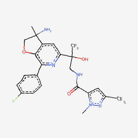 Cn1nc(C(F)(F)F)cc1C(=O)NCC(O)(c1cc2c(c(-c3ccc(F)cc3)n1)OCC2(C)N)C(F)(F)F